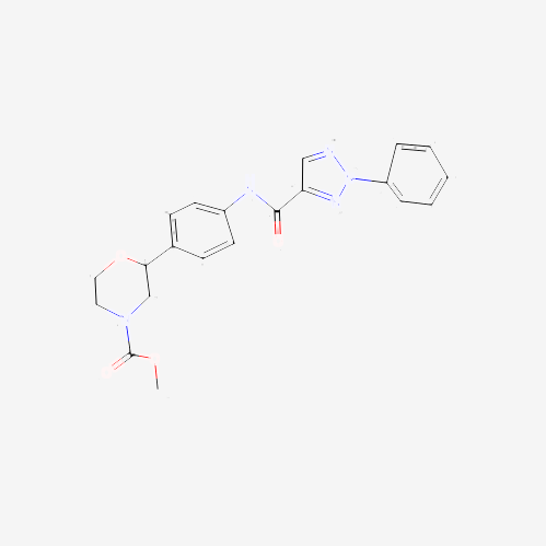 CC(C)(C)OC(=O)N1CCOC(c2ccc(NC(=O)c3cnn(-c4ccccc4)n3)cc2)C1